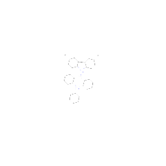 CC(C)(C)c1ccc(N2c3ccc(C(C)(C)C)cc3B3c4c(cccc42)-c2cc(C(C)(C)C)cc4c5cc(C(C)(C)C)ccc5n3c24)cc1